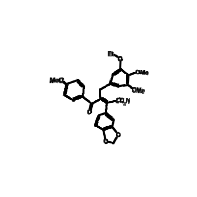 CCOc1cc(CC(C(=O)c2ccc(OC)cc2)=C(C(=O)O)c2ccc3c(c2)OCO3)cc(OC)c1OC